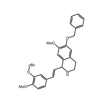 CCCCOc1cc(C=CC2NCCc3cc(OCc4ccccc4)c(OC)cc32)ccc1OC